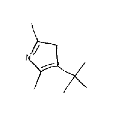 CC1=NC(C)=C(C(C)(C)C)C1